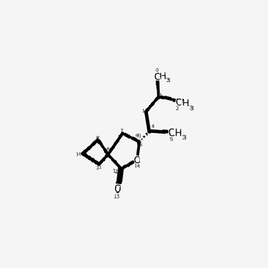 CC(C)CC(C)[C@H]1CC2(CCC2)C(=O)O1